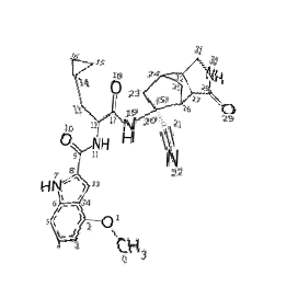 COc1cccc2[nH]c(C(=O)NC(CC3CC3)C(=O)N[C@@]3(C#N)CC4CC3C3C(=O)NCC43)cc12